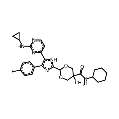 CC1(C(=O)NC2CCCCC2)COC(c2nc(-c3ccc(F)cc3)c(-c3ccnc(NC4CC4)n3)[nH]2)OC1